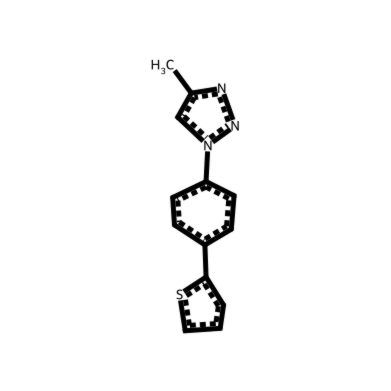 Cc1cn(-c2ccc(-c3cccs3)cc2)nn1